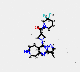 Cc1cnn2c(N3CC(C(=O)N4CCCC(F)(F)C4)C3)c3c(nc12)CCNCC3